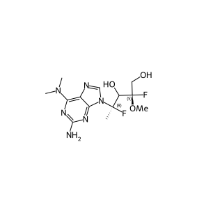 CO[C@](F)(CO)C(O)[C@@](C)(F)n1cnc2c(N(C)C)nc(N)nc21